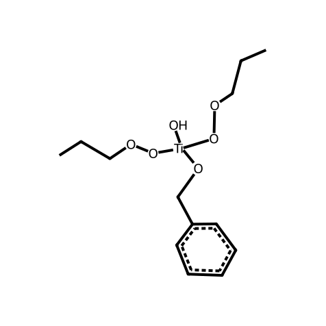 CCCO[O][Ti]([OH])([O]Cc1ccccc1)[O]OCCC